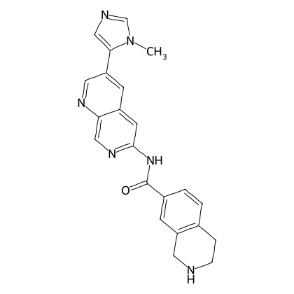 Cn1cncc1-c1cnc2cnc(NC(=O)c3ccc4c(c3)CNCC4)cc2c1